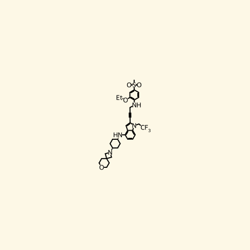 CCOc1cc(S(C)(=O)=O)ccc1NCC#Cc1cc2c(N[C@H]3CC[C@H](N4CC5(CCOCC5)C4)CC3)cccc2n1CC(F)(F)F